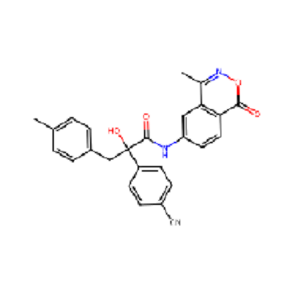 Cc1ccc(CC(O)(C(=O)Nc2ccc3c(=O)onc(C)c3c2)c2ccc(C#N)cc2)cc1